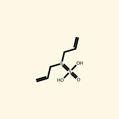 C=CCS(CC=C)=S(=O)(O)O